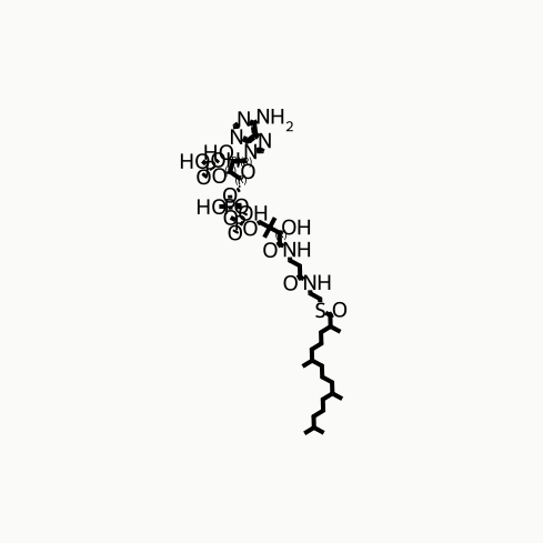 CC(C)CCCC(C)CCCC(C)CCCC(C)C(=O)SCCNC(=O)CCNC(=O)[C@H](O)C(C)(C)COP(=O)(O)OP(=O)(O)OC[C@H]1O[C@@H](n2cnc3c(N)ncnc32)[C@H](O)[C@@H]1OP(=O)(O)O